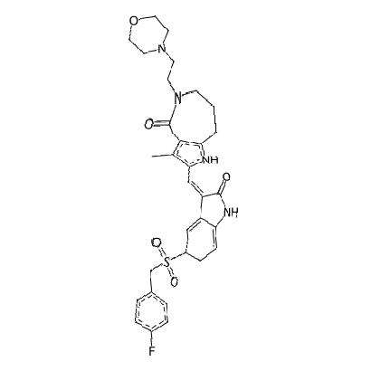 Cc1c(/C=C2\C(=O)NC3=CCC(S(=O)(=O)Cc4ccc(F)cc4)C=C32)[nH]c2c1C(=O)N(CCN1CCOCC1)CCC2